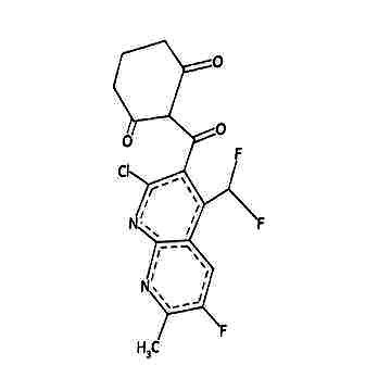 Cc1nc2nc(Cl)c(C(=O)C3C(=O)CCCC3=O)c(C(F)F)c2cc1F